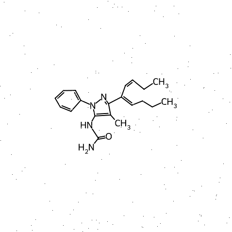 CC/C=C\C(=C/CCC)c1nn(-c2ccccc2)c(NC(N)=O)c1C